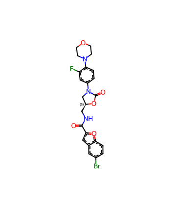 O=C(NC[C@H]1CN(c2ccc(N3CCOCC3)c(F)c2)C(=O)O1)c1cc2cc(Br)ccc2o1